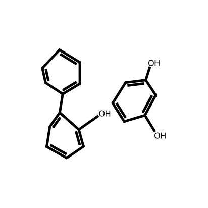 Oc1cccc(O)c1.Oc1ccccc1-c1ccccc1